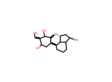 C=C1C(=C2CCCC3C(C)CCC23)CC(O)C(=CC)C1O